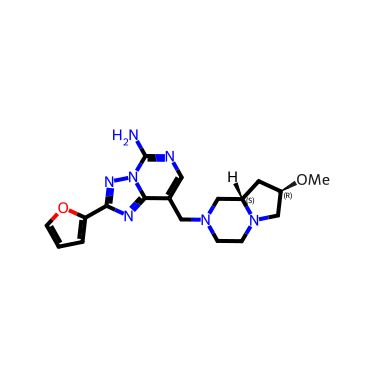 CO[C@@H]1C[C@H]2CN(Cc3cnc(N)n4nc(-c5ccco5)nc34)CCN2C1